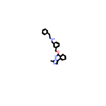 Cc1ncc2c3ccccc3c(OCc3cccc(CNCCc4ccccc4)c3)nn12